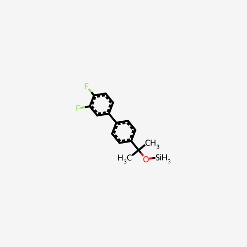 CC(C)(O[SiH3])c1ccc(-c2ccc(F)c(F)c2)cc1